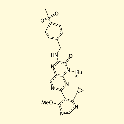 CC[C@@H](C)n1c(=O)c(NCc2ccc(S(C)(=O)=O)cc2)nc2cnc(-c3c(OC)ncnc3C3CC3)nc21